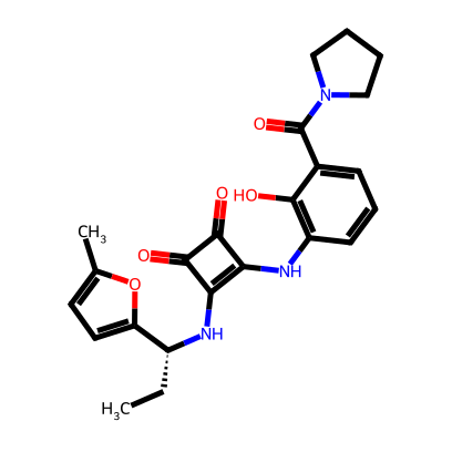 CC[C@@H](Nc1c(Nc2cccc(C(=O)N3CCCC3)c2O)c(=O)c1=O)c1ccc(C)o1